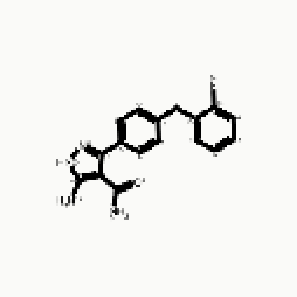 NC(=O)c1c(-c2ccc(Cc3ccccc3F)cc2)n[nH]c1N